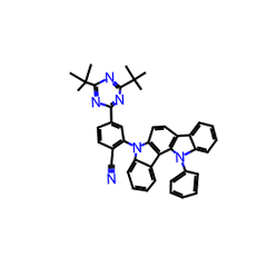 CC(C)(C)c1nc(-c2ccc(C#N)c(-n3c4ccccc4c4c3ccc3c5ccccc5n(-c5ccccc5)c34)c2)nc(C(C)(C)C)n1